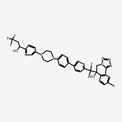 OC(CC(F)(F)F)c1ccc(N2CCN(c3ccc(-c4ccc(C(F)(F)[C@]5(O)Cn6nnnc6-c6cc(F)ccc65)nc4)cc3)CC2)cn1